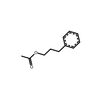 [CH2]C(=O)OCCCc1ccccc1